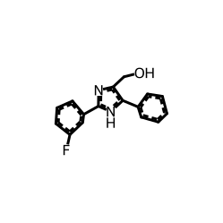 OCc1nc(-c2cccc(F)c2)[nH]c1-c1ccccc1